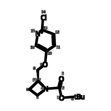 CC(C)(C)OC(=O)N1CC[C@H]1COc1ccc(Cl)nc1